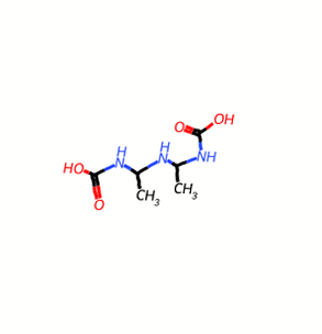 CC(NC(=O)O)NC(C)NC(=O)O